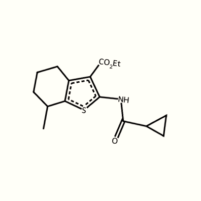 CCOC(=O)c1c(NC(=O)C2CC2)sc2c1CCCC2C